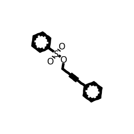 O=S(=O)(OCC#Cc1ccccc1)c1ccccc1